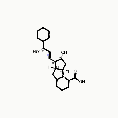 O=C(O)C1CCCC2C[C@@H]3[C@@H](/C=C/[C@H](O)C4CCCCC4)[C@H](O)C[C@H]3N21